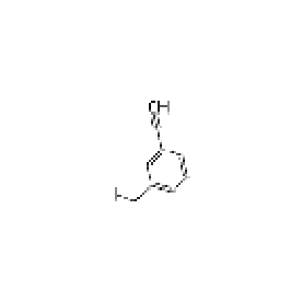 C#Cc1cccc(CI)c1